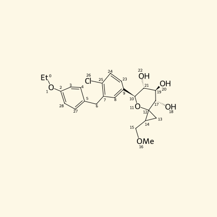 CCOc1ccc(Cc2cc([C@@H]3OC4(CC4COC)[C@@H](O)[C@H](O)[C@H]3O)ccc2Cl)cc1